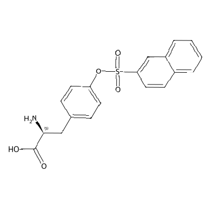 N[C@@H](Cc1ccc(OS(=O)(=O)c2ccc3ccccc3c2)cc1)C(=O)O